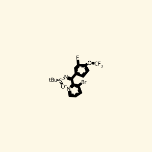 CC(C)(C)[S@+]([O-])/N=C(/c1ccc(OC(F)(F)F)c(F)c1)c1ncccc1Br